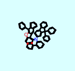 c1ccc(-c2ccccc2N(c2ccc3c(c2)C(c2ccccc2)(c2ccccc2)c2ccccc2-3)c2cccc3oc4c(-c5ccccc5)c5ccccc5cc4c23)cc1